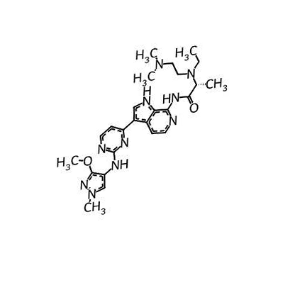 CCN(CCN(C)C)[C@H](C)C(=O)Nc1nccc2c(-c3ccnc(Nc4cn(C)nc4OC)n3)c[nH]c12